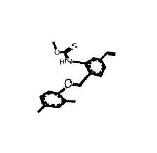 C=Cc1ccc(COc2ccc(C)cc2C)c(NC(=S)OC)c1